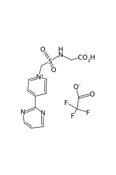 O=C(O)CNS(=O)(=O)C[n+]1ccc(-c2ncccn2)cc1.O=C([O-])C(F)(F)F